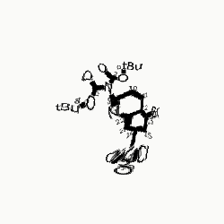 CC(C)(C)OC(=O)N(C(=O)OC(C)(C)C)c1ccc2c(Br)cc(S(=O)(=O)Cl)cc2n1